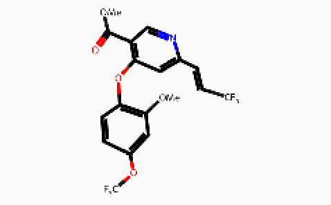 COC(=O)c1cnc(C=CC(F)(F)F)cc1Oc1ccc(OC(F)(F)F)cc1OC